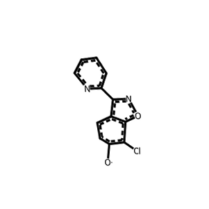 [O]c1ccc2c(-c3ccccn3)noc2c1Cl